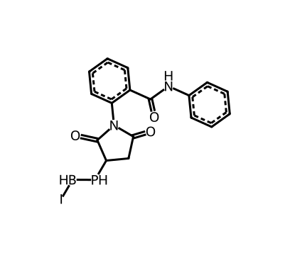 O=C(Nc1ccccc1)c1ccccc1N1C(=O)CC(PBI)C1=O